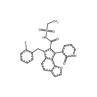 CCS(=O)(=O)NC(=O)c1c(-c2ccc[nH]c2=O)c2c3occc3ccc2n1Cc1ccccc1F